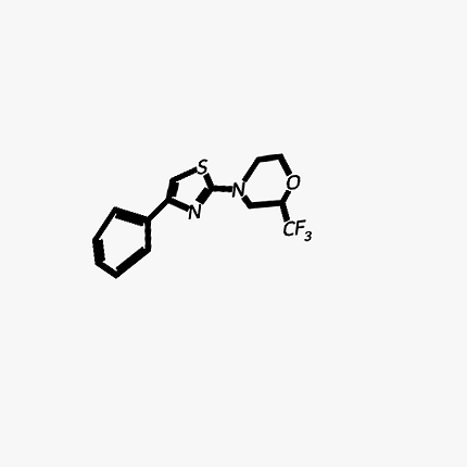 FC(F)(F)C1CN(c2nc(-c3ccccc3)cs2)CCO1